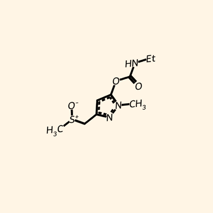 CCNC(=O)Oc1cc(C[S+](C)[O-])nn1C